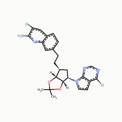 CC1(C)O[C@@H]2[C@@H](CCc3ccc4cc(Cl)c(N)nc4c3)C[C@@H](n3ccc4c(Cl)ncnc43)[C@@H]2O1